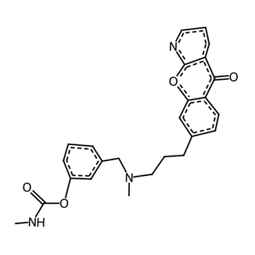 CNC(=O)Oc1cccc(CN(C)CCCc2ccc3c(=O)c4cccnc4oc3c2)c1